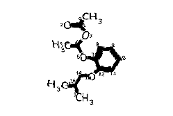 CC(=O)OC(C)Oc1ccccc1OCC(C)C